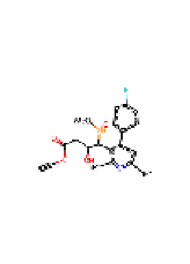 C#COC(=O)CC(O)C(c1c(-c2ccc(F)cc2)cc(C(C)C)nc1C(C)C)[PH](=O)OC